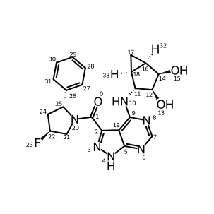 O=C(c1n[nH]c2ncnc(N[C@H]3[C@H](O)[C@H](O)[C@@H]4C[C@@H]43)c12)N1C[C@@H](F)C[C@@H]1c1ccccc1